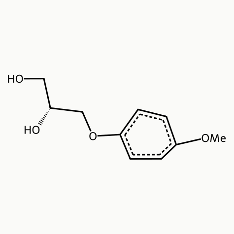 COc1ccc(OC[C@H](O)CO)cc1